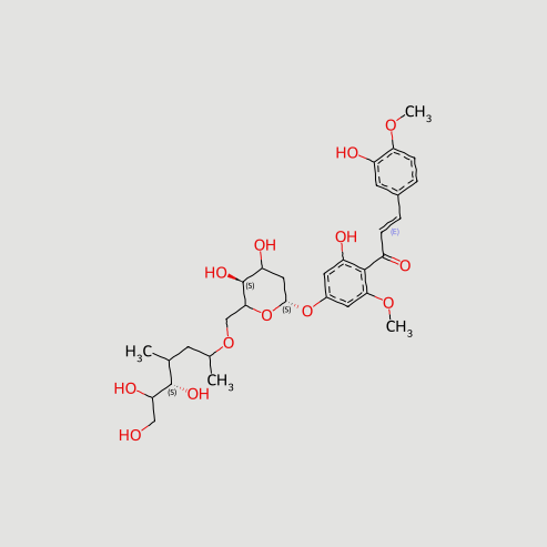 COc1ccc(/C=C/C(=O)c2c(O)cc(O[C@H]3CC(O)[C@H](O)C(COC(C)CC(C)[C@H](O)C(O)CO)O3)cc2OC)cc1O